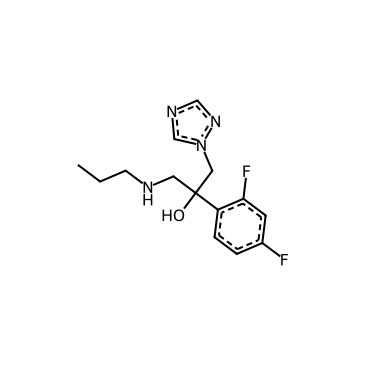 CCCNCC(O)(Cn1cncn1)c1ccc(F)cc1F